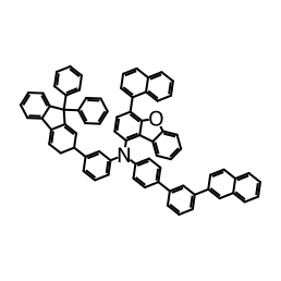 C1=C2C(=CC(c3cccc(N(c4ccc(-c5cccc(-c6ccc7ccccc7c6)c5)cc4)c4ccc(-c5cccc6ccccc56)c5oc6ccccc6c45)c3)C1)C(c1ccccc1)(c1ccccc1)c1ccccc12